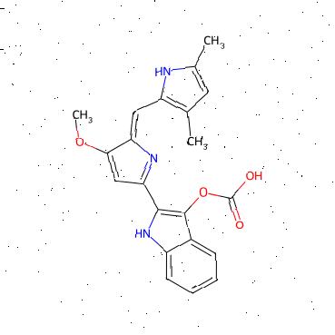 COC1=CC(c2[nH]c3ccccc3c2OC(=O)O)=NC1=Cc1[nH]c(C)cc1C